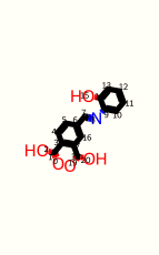 O=C(O)c1ccc(C=Nc2ccccc2O)cc1C(=O)O